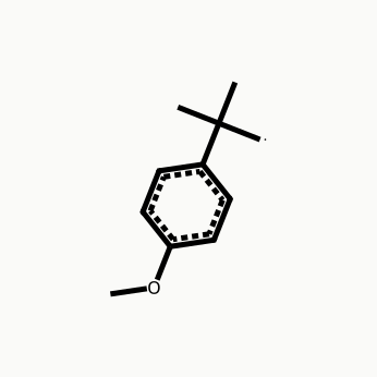 [CH2]C(C)(C)c1ccc(OC)cc1